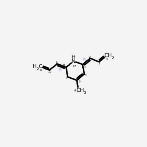 C=C/C=C1\C=C(C)C/C(=C\C=C)N1